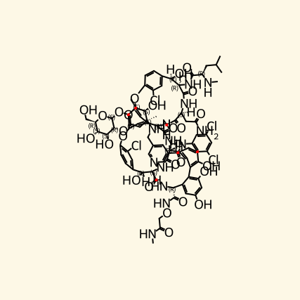 CNC(=O)CONC(=O)[C@@H]1NC(=O)[C@H]2NC(=O)[C@H](NC(=O)[C@@H]3NC(=O)[C@H](CC(N)=O)NC(=O)[C@H](NC(=O)[C@@H](CC(C)C)NC)[C@H](O)c4ccc(c(Cl)c4)Oc4cc3cc(c4O[C@@H]3O[C@H](CO)[C@@H](O)[C@H](O)[C@H]3O[C@H]3C[C@](C)(NCc4cncc(C(=O)Nc5cc(Cl)cc(Cl)c5)c4)[C@H](O)[C@H](C)O3)Oc3ccc(cc3Cl)[C@H]2O)c2ccc(O)c(c2)-c2c(O)cc(O)cc21